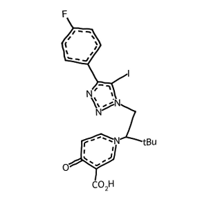 CC(C)(C)C(Cn1nnc(-c2ccc(F)cc2)c1I)n1ccc(=O)c(C(=O)O)c1